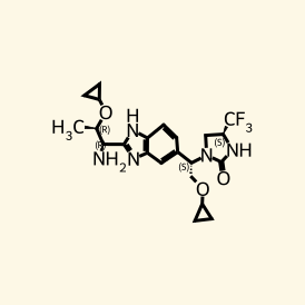 C[C@@H](OC1CC1)[C@H](N)c1nc2cc([C@@H](COC3CC3)N3C[C@@H](C(F)(F)F)NC3=O)ccc2[nH]1